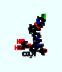 CC1(c2ccc(Cl)cn2)Oc2cccc(C3CCN(Cc4nc5c(OCC(I)(CO)CO)cc(C(=O)O)cc5n4C[C@@H]4CCO4)CC3)c2O1